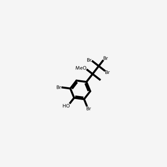 COC(C)(c1cc(Br)c(O)c(Br)c1)C(Br)(Br)Br